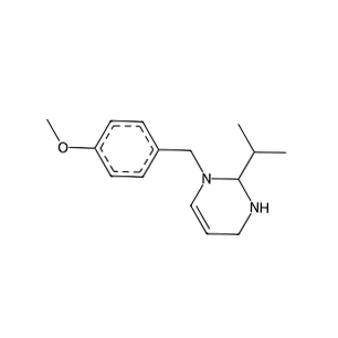 COc1ccc(CN2C=CCNC2C(C)C)cc1